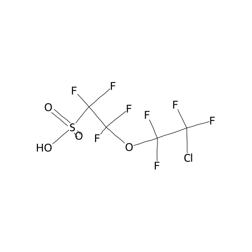 O=S(=O)(O)C(F)(F)C(F)(F)OC(F)(F)C(F)(F)Cl